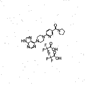 O=C(O)C(F)(F)F.O=C(O)C(F)(F)F.O=C(c1ccc(N2CCN(c3ncnc4[nH]cnc34)CC2)nc1)N1CCCC1